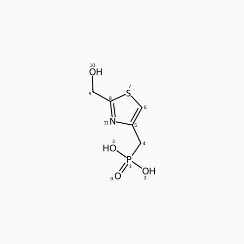 O=P(O)(O)Cc1csc(CO)n1